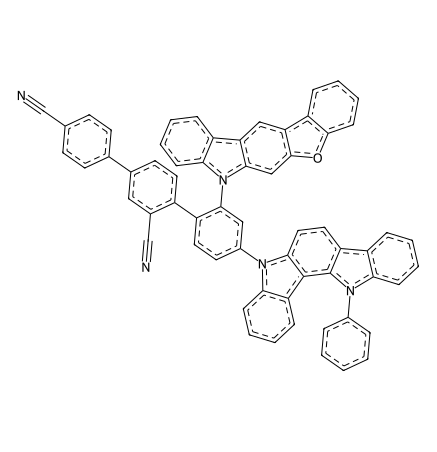 N#Cc1ccc(-c2ccc(-c3ccc(-n4c5ccccc5c5c4ccc4c6ccccc6n(-c6ccccc6)c45)cc3-n3c4ccccc4c4cc5c(cc43)oc3ccccc35)c(C#N)c2)cc1